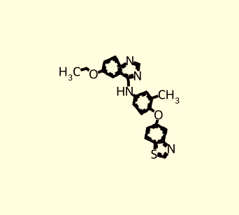 CCOc1ccc2ncnc(Nc3ccc(Oc4ccc5scnc5c4)c(C)c3)c2c1